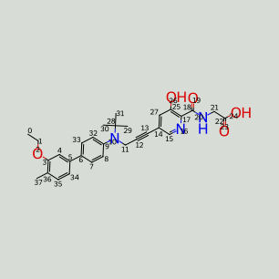 CCOc1cc(-c2ccc(N(CC#Cc3cnc(C(=O)NCC(=O)O)c(O)c3)C(C)(C)C)cc2)ccc1C